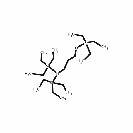 CC[Si](CC)(CC)OCCCN([Si](CC)(CC)CC)[Si](CC)(CC)CC